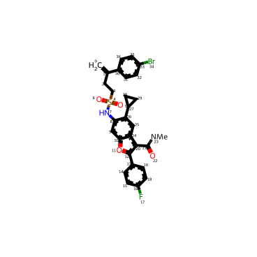 C=C(CCS(=O)(=O)Nc1cc2oc(-c3ccc(F)cc3)c(C(=O)NC)c2cc1C1CC1)c1ccc(Br)cc1